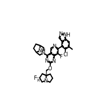 Cc1cc2[nH]ncc2c(-c2ncc3c(N4CC5CCC(C4)N5)nc(OC[C@@]45CCCN4C[C@H](F)C5)nc3c2F)c1Cl